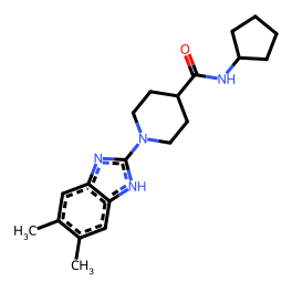 Cc1cc2nc(N3CCC(C(=O)NC4CCCC4)CC3)[nH]c2cc1C